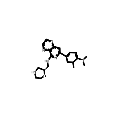 CC1CC(c2cc3nccnc3c(NC[C@@H]3CNCCO3)n2)=CC=C1N(C)C